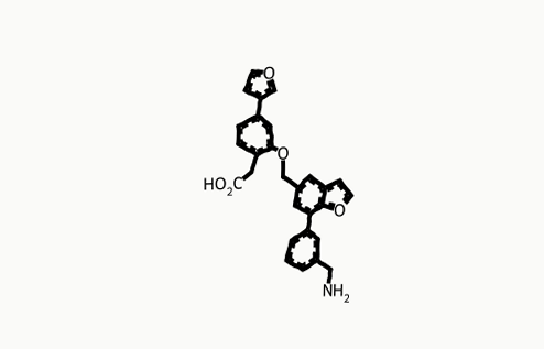 NCc1cccc(-c2cc(COc3cc(-c4ccoc4)ccc3CC(=O)O)cc3ccoc23)c1